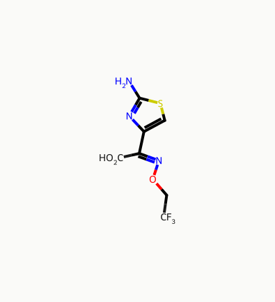 Nc1nc(C(=NOCC(F)(F)F)C(=O)O)cs1